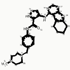 CN1CCN(Cc2ccc(NC(=O)c3[nH]ncc3Nc3ncnc4sc5c(c34)CCCC5)cc2)CC1